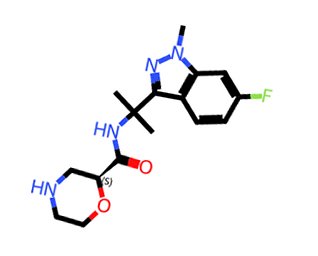 Cn1nc(C(C)(C)NC(=O)[C@@H]2CNCCO2)c2ccc(F)cc21